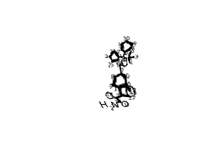 CC(C)(C)[Si](OCc1ccc2c(C(=O)C(N)=O)coc2c1)(c1ccccc1)c1ccccc1